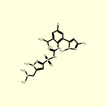 Cc1cc(-c2cc(F)cc(C(C)C)c2NC(=O)NS(=O)(=O)c2cc(CN(C)C)n(C)n2)n(C)n1